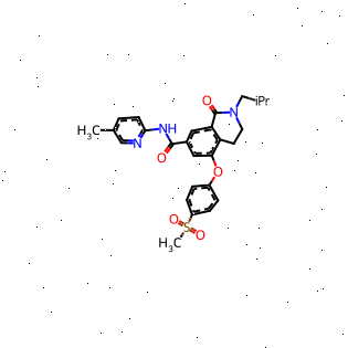 Cc1ccc(NC(=O)c2cc(Oc3ccc(S(C)(=O)=O)cc3)c3c(c2)C(=O)N(CC(C)C)CC3)nc1